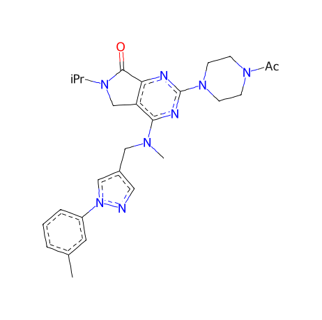 CC(=O)N1CCN(c2nc3c(c(N(C)Cc4cnn(-c5cccc(C)c5)c4)n2)CN(C(C)C)C3=O)CC1